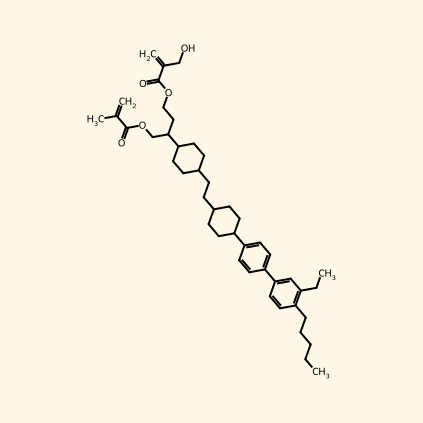 C=C(C)C(=O)OCC(CCOC(=O)C(=C)CO)C1CCC(CCC2CCC(c3ccc(-c4ccc(CCCCC)c(CC)c4)cc3)CC2)CC1